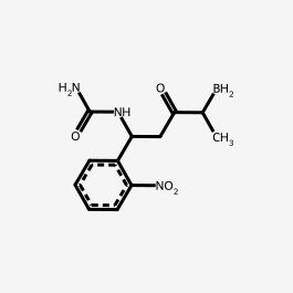 BC(C)C(=O)CC(NC(N)=O)c1ccccc1[N+](=O)[O-]